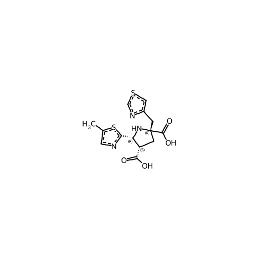 Cc1cnc([C@@H]2N[C@](Cc3cscn3)(C(=O)O)C[C@@H]2C(=O)O)s1